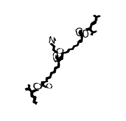 CCCCC(COC(C=O)CCCCCCCCC(CCCCCCCCCC(=O)OCC(CCC(C)C)C(C)C)OC(=O)CCCN(C)C)C(C)C